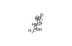 COc1cc2c(Nc3ccc(C)c(O)c3)ccnc2cc1OCc1ccccc1